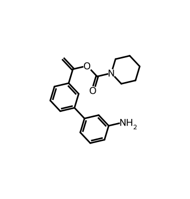 C=C(OC(=O)N1CCCCC1)c1cccc(-c2cccc(N)c2)c1